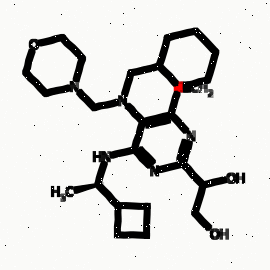 C=Nc1nc(C(O)CO)nc(N[C@H](C)C2CCC2)c1N(CC1CCCCC1)CN1CCOCC1